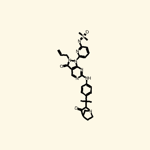 C=CCn1c(=O)c2cnc(Nc3ccc(C(C)(C)C4C(=O)C5CCN4C5)cc3)nc2n1-c1cccc(N=S(C)(C)=O)n1